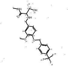 CNC(=O)C(NCc1ccc(OCc2ccc(C(F)(F)F)cc2)c(OC)c1)[C@H](C)O